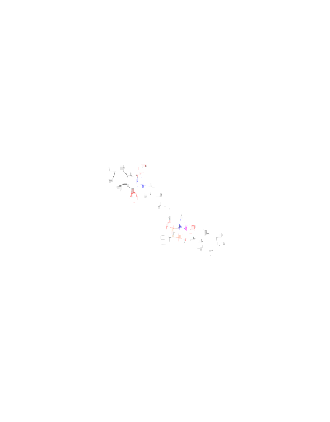 CCS(=O)(=O)N(CCCCCCCN1C(=O)c2ccccc2C1=O)OCC1CCCCC1